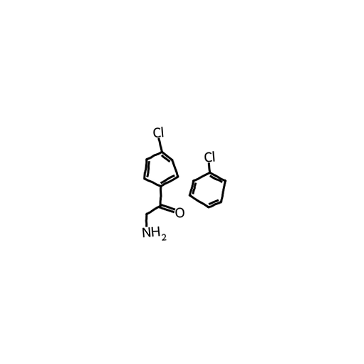 Clc1ccccc1.NCC(=O)c1ccc(Cl)cc1